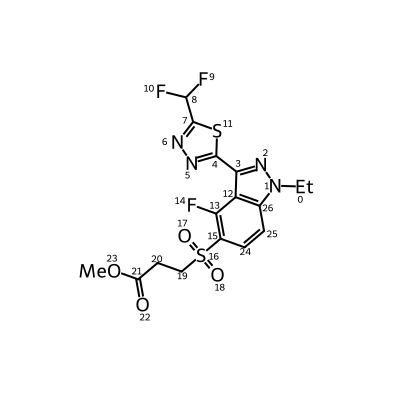 CCn1nc(-c2nnc(C(F)F)s2)c2c(F)c(S(=O)(=O)CCC(=O)OC)ccc21